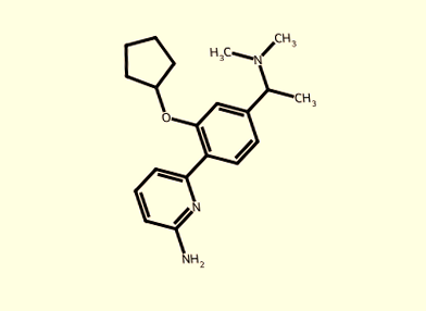 CC(c1ccc(-c2cccc(N)n2)c(OC2CCCC2)c1)N(C)C